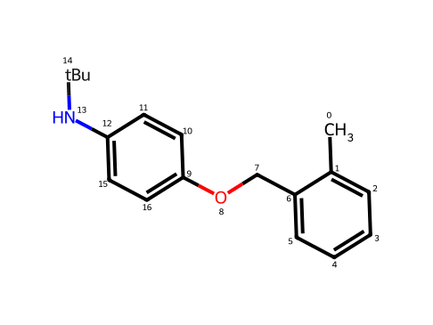 Cc1ccccc1COc1ccc(NC(C)(C)C)cc1